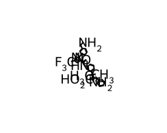 CC(C)(c1cccc(NC(=O)c2cc(C(F)(F)F)nn2-c2cccc(CN)c2)c1)[C@@](N)(Cc1ccccc1)C(=O)O